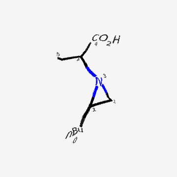 CCCCC1CN1C(C)C(=O)O